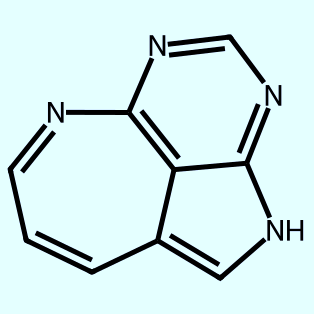 C1=Cc2c[nH]c3ncnc(c23)N=C1